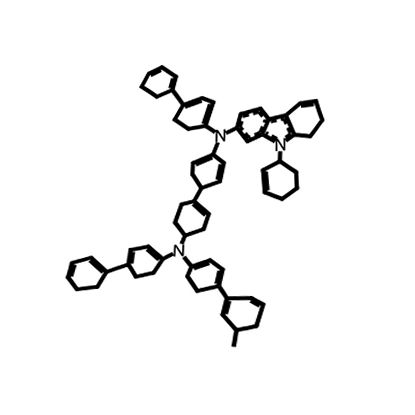 CC1C=C(C2=CC=C(N(C3=CC=C(C4=CC=CCC4)CC3)C3CC=C(C4C=CC(N(C5=CC=C(C6=CC=CCC6)CC5)c5ccc6c7c(n(C8C=CCCC8)c6c5)CCC=C7)=CC4)CC3)CC2)C=CC1